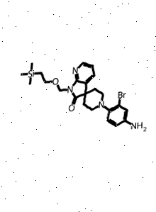 C[Si](C)(C)CCOCN1C(=O)C2(CCN(c3ccc(N)cc3Br)CC2)c2cccnc21